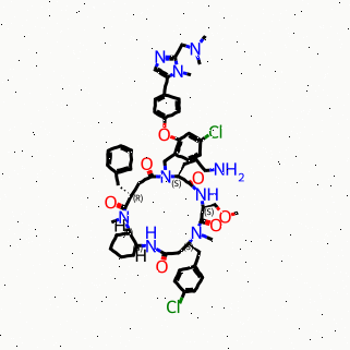 COC[C@@H]1NC(=O)[C@H](CCCN)N(Cc2ccc(Cl)cc2Oc2ccc(-c3cnc(CN(C)C)n3C)cc2)C(=O)C[C@@H](Cc2ccccc2)C(=O)N(C)[C@H]2CCCC[C@@H]2NC(=O)C[C@H](Cc2ccc(Cl)cc2)N(C)C1=O